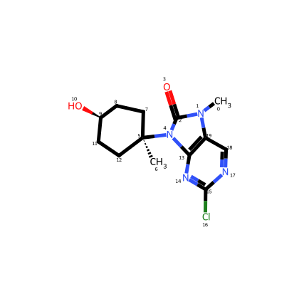 Cn1c(=O)n([C@]2(C)CC[C@H](O)CC2)c2nc(Cl)ncc21